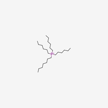 CCCCCCC[P+](CCCCCC)(CCCCCC)CCCCCC